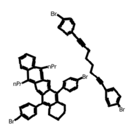 Brc1ccc(C#CCCCCC#Cc2ccc(Br)cc2)cc1.CCCc1c2ccccc2c(CCC)c2cc3c(-c4ccc(Br)cc4)c4c(c(-c5ccc(Br)cc5)c3cc12)CCCC4